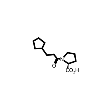 O=C(O)[C@@H]1CCCN1C(=O)CCC1CCCC1